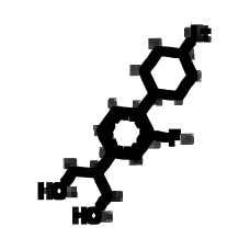 CCC1CCC(c2ccc(C(CO)CO)cc2F)CC1